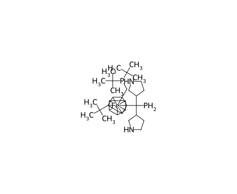 CC(C)(C)P(C[C]12[CH]3[C]4(C(C)(C)C)[CH]5[C]1(C(P)(C1CCNC1)C1CCNC1)[Fe]35241678[CH]2[CH]1[CH]6[CH]7[CH]28)C(C)(C)C